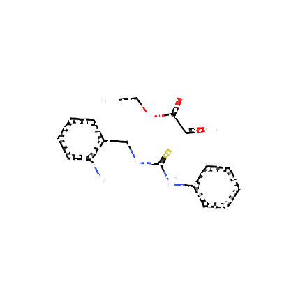 CCOC(=O)C=O.Nc1ccccc1CNC(=S)Nc1ccccc1